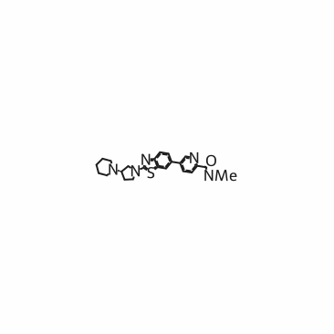 CNC(=O)c1ccc(-c2ccc3nc(N4CC[C@@H](N5CCCCC5)C4)sc3c2)cn1